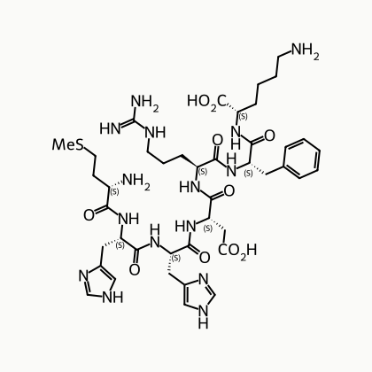 CSCC[C@H](N)C(=O)N[C@@H](Cc1c[nH]cn1)C(=O)N[C@@H](Cc1c[nH]cn1)C(=O)N[C@@H](CC(=O)O)C(=O)N[C@@H](CCCNC(=N)N)C(=O)N[C@@H](Cc1ccccc1)C(=O)N[C@@H](CCCCN)C(=O)O